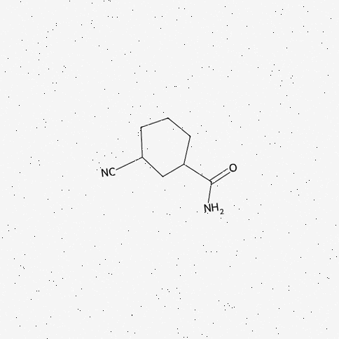 N#CC1CCCC(C(N)=O)C1